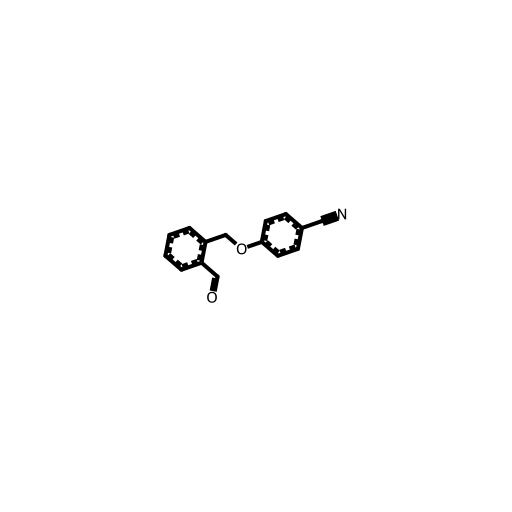 N#Cc1ccc(OCc2ccccc2C=O)cc1